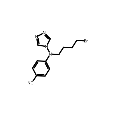 N#Cc1ccc(N(CCCCBr)n2cnnc2)cc1